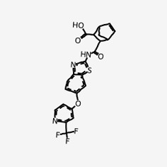 O=C(O)C1C2C=CC(C2)C1C(=O)Nc1nc2ccc(Oc3ccnc(C(F)(F)F)c3)cc2s1